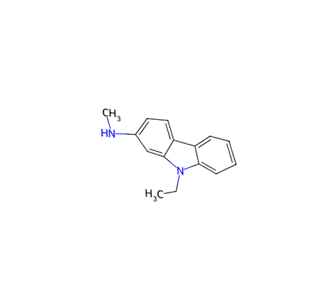 CCn1c2ccccc2c2ccc(NC)cc21